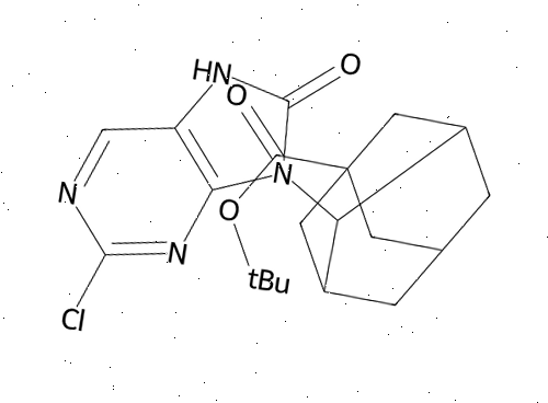 CC(C)(C)OC(=O)C12CC3CC(C1)C(n1c(=O)[nH]c4cnc(Cl)nc41)C(C3)C2